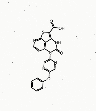 O=C(O)c1sc2nccc3c2c1NC(=O)N3c1cnc(Oc2ccccc2)cn1